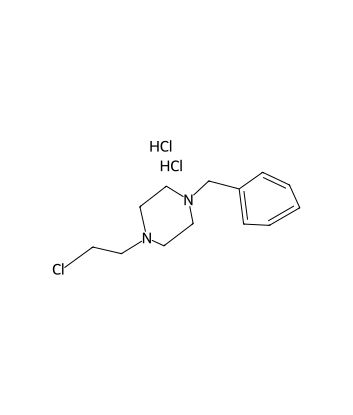 Cl.Cl.ClCCN1CCN(Cc2ccccc2)CC1